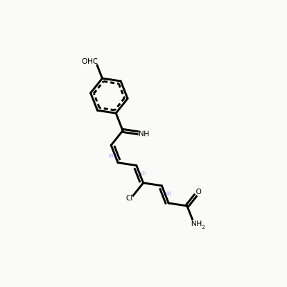 N=C(\C=C/C=C(Cl)/C=C/C(N)=O)c1ccc(C=O)cc1